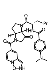 CC(C)C[C@H](NC(=O)c1ccc(N(C)C)cc1)C(=O)N1CC[C@@H]2[C@H]1C(=O)CN2C(=O)C1=CC2=CNON2C=C1